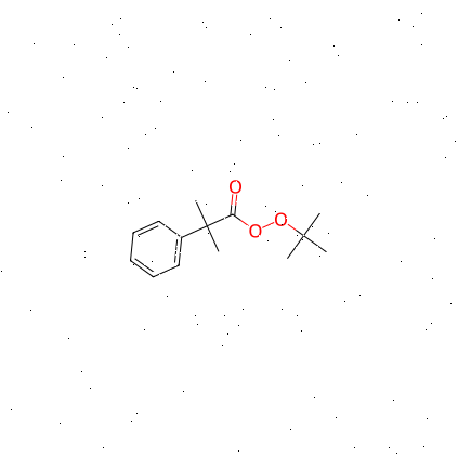 CC(C)(C)OOC(=O)C(C)(C)c1ccccc1